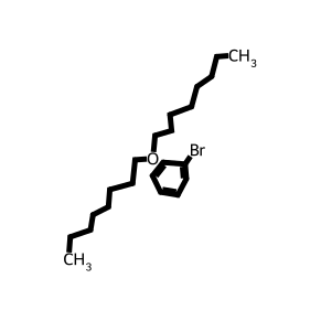 Brc1ccccc1.CCCCCCCCOCCCCCCCC